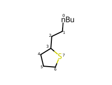 CCCCCCC1CCCS1